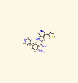 N=C(c1cc2c(-c3ccsc3)cncc2[nH]1)c1cc(-c2ccncc2)ccc1N